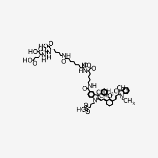 CCN1c2ccccc2C(C)(C)C1/C=C/C1=C(Oc2ccccc2)C(=C/C=C2/N(CCCS(=O)(=O)O)c3ccc(C(=O)NCCCCC(NC(=O)CCCCCCC(=O)NCCCC[C@H](NC(=O)N[C@@H](CCC(=O)O)C(=O)O)C(=O)O)C(=O)O)cc3C2(C)C)/CCC1